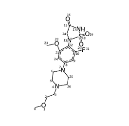 COCCN1CCN(c2cc(F)c(N3CC(=O)NS3(=O)=O)c(OC)c2)CC1